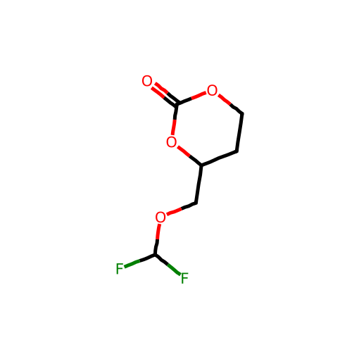 O=C1OCCC(COC(F)F)O1